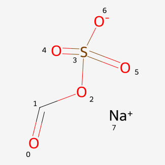 O=COS(=O)(=O)[O-].[Na+]